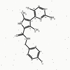 Cc1[nH]c(C(=O)NCc2ccc(F)cc2)c(C)c1-c1nc(N)ncc1F